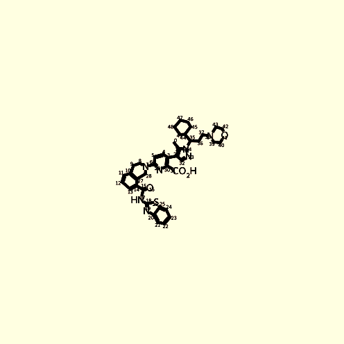 Cc1c(-c2ccc(N3CCc4cccc(C(=O)Nc5nc6ccccc6s5)c4C3)nc2C(=O)O)cnn1C(CCN1CCOCC1)C1CCCCC1